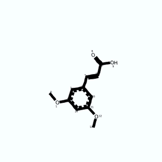 COc1cc(C=CC(=O)O)cc(OC)c1